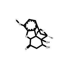 O=C1CC(O)C2(O)[C@@H]3CCC[C@@]24c2c(ccc(OI)c2OC14)C3